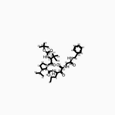 CCCC(NC(=O)[C@@H]1[C@@H](C(C)C)CCN1C(=O)C(NC(=O)OC(C)(C)C)C(C)(C)C)C(=O)C(=O)NCC(=O)NCc1ccccc1